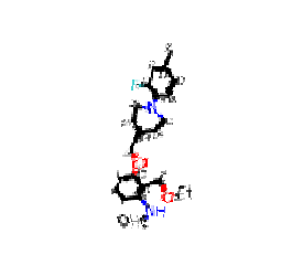 CCOCc1c(NC=O)cccc1OCC1CCN(c2ccc(C)cc2F)CC1